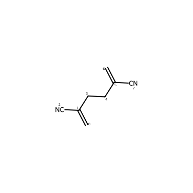 C=C(C#N)CCC(=C)C#N